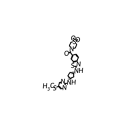 CSc1cnc(N[C@H]2CC[C@H](Nc3nc4ccc(C(=O)N5CCS(=O)(=O)CC5)cc4s3)C2)nc1